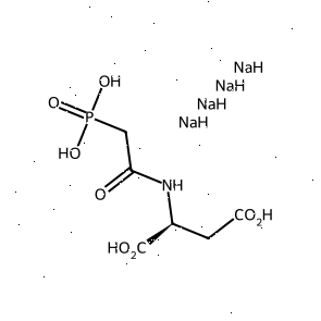 O=C(O)C[C@H](NC(=O)CP(=O)(O)O)C(=O)O.[NaH].[NaH].[NaH].[NaH]